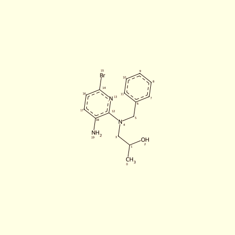 CC(O)CN(Cc1ccccc1)c1nc(Br)ccc1N